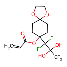 C=CC(=O)OC1(C(F)(F)C(O)(O)C(F)(F)F)CCC2(CC1)OCCO2